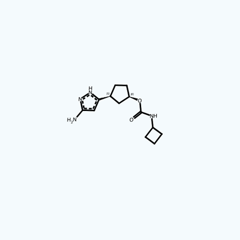 Nc1cc([C@H]2CC[C@@H](OC(=O)NC3CCC3)C2)[nH]n1